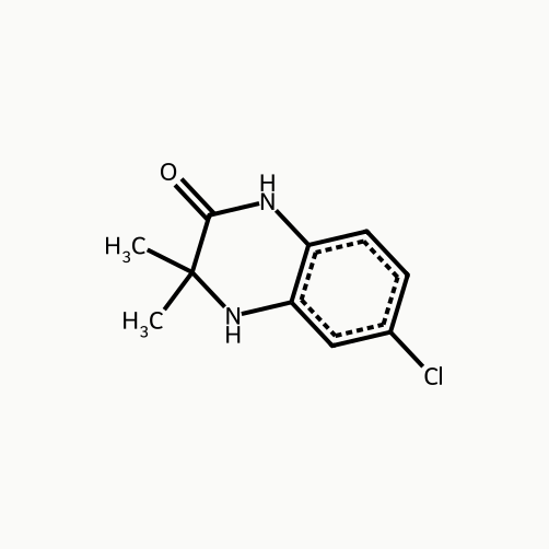 CC1(C)Nc2cc(Cl)ccc2NC1=O